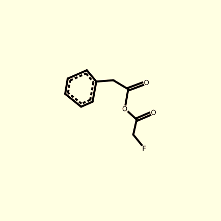 O=C(CF)OC(=O)Cc1ccccc1